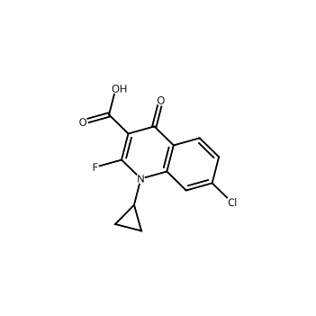 O=C(O)c1c(F)n(C2CC2)c2cc(Cl)ccc2c1=O